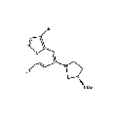 CN[C@@H]1CCN(c2cc(N)n3ncc(Br)c3n2)C1